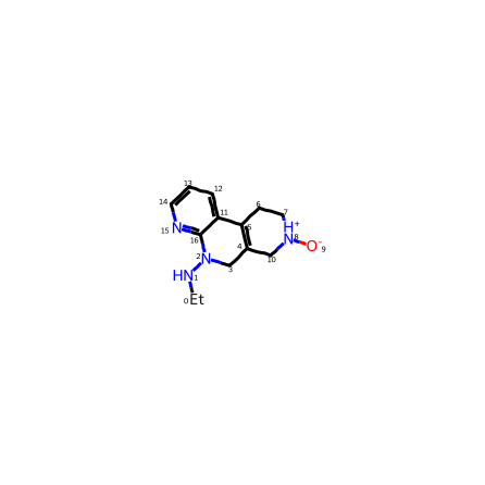 CCNN1CC2=C(CC[NH+]([O-])C2)c2cccnc21